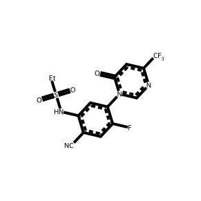 CCS(=O)(=O)Nc1cc(-n2cnc(C(F)(F)F)cc2=O)c(F)cc1C#N